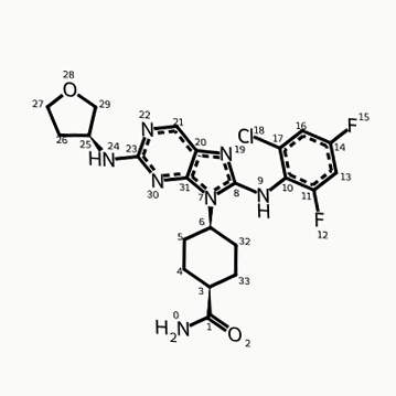 NC(=O)[C@H]1CC[C@@H](n2c(Nc3c(F)cc(F)cc3Cl)nc3cnc(N[C@H]4CCOC4)nc32)CC1